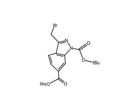 COC(=O)c1ccc2c(CBr)nn(C(=O)OC(C)(C)C)c2c1